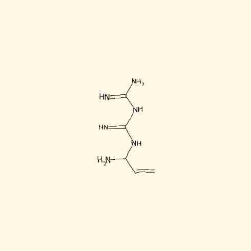 C=CC(N)NC(=N)NC(=N)N